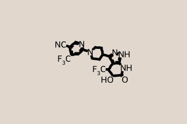 N#Cc1cnc(N2CCC(c3n[nH]c4c3C(C(F)(F)F)C(O)C(=O)N4)CC2)cc1C(F)(F)F